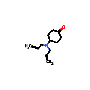 C=CCN(CC=C)C1CCC(=O)CC1